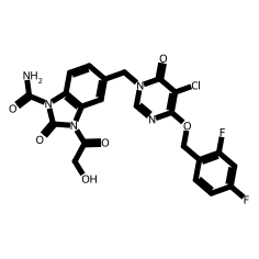 NC(=O)n1c(=O)n(C(=O)CO)c2cc(Cn3cnc(OCc4ccc(F)cc4F)c(Cl)c3=O)ccc21